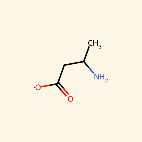 CC(N)CC([O])=O